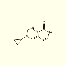 O=c1[nH]ccc2cc(C3CC3)cnc12